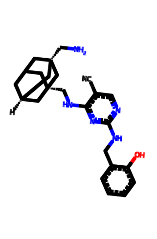 N#Cc1cnc(NCc2ccccc2O)nc1NC[C@]12CC3C[C@@H](C[C@@](CN)(C3)C1)C2